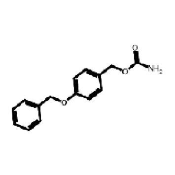 NC(=O)OCc1ccc(OCc2ccccc2)cc1